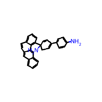 Nc1ccc(C2=CCC(N)(c3cccc4ccc5cc6ccccc6cc5c34)C=C2)cc1